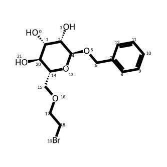 O[C@@H]1[C@H](O)[C@@H](OCc2ccccc2)O[C@H](COCCBr)[C@H]1O